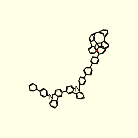 c1ccc(-c2ccc(-n3c4ccccc4c4cc(-c5ccc6c(c5)c5ccccc5n6-c5ccc(-c6ccc(-c7ccc(-c8cccc(C9%10c%11ccccc%11-c%11cccc(c%11)-c%11ccc(c9c%11)-c9ccccc9%10)c8)cc7)cc6)cc5)ccc43)cc2)cc1